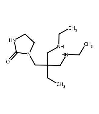 CCNCC(CC)(CNCC)CN1CCNC1=O